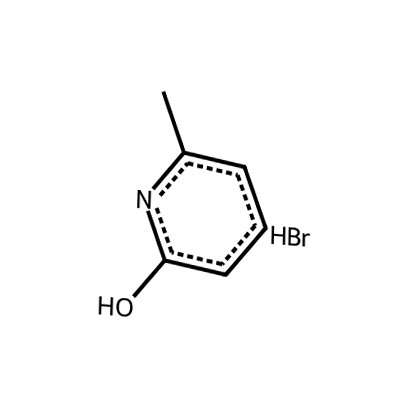 Br.Cc1cccc(O)n1